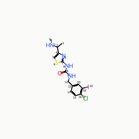 CNC(C)c1csc(NC(=O)NCc2ccc(Cl)c(I)c2)n1